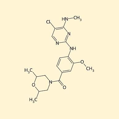 CNc1nc(Nc2ccc(C(=O)N3CC(C)OC(C)C3)cc2OC)ncc1Cl